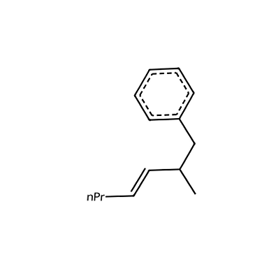 [CH2]CCC=CC(C)Cc1ccccc1